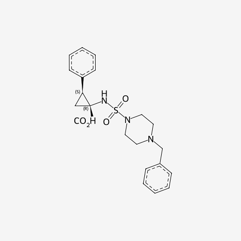 O=C(O)[C@@]1(NS(=O)(=O)N2CCN(Cc3ccccc3)CC2)C[C@H]1c1ccccc1